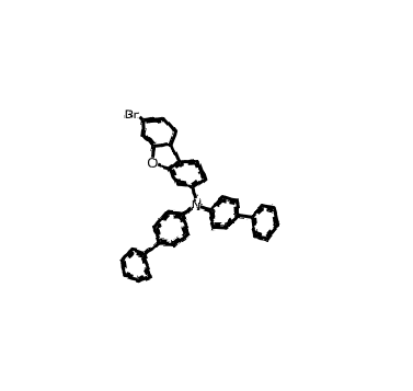 BrC1=CCC2C(=C1)Oc1cc(N(c3ccc(-c4ccccc4)cc3)c3ccc(-c4ccccc4)cc3)ccc12